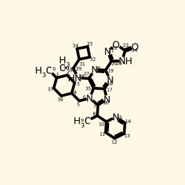 CC1CCC(Cn2c(C(C)c3ccccn3)nc3nc(-c4noc(=O)[nH]4)nc(N[C@H](C)C4CCC4)c32)CC1